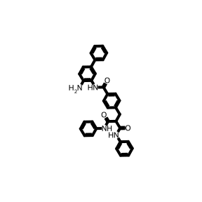 Nc1ccc(-c2ccccc2)cc1NC(=O)c1ccc(CC(C(=O)Nc2ccccc2)C(=O)Nc2ccccc2)cc1